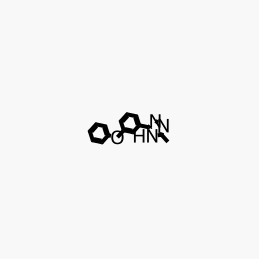 Cc1nnc(-c2cccc(Oc3ccccc3)c2)[nH]1